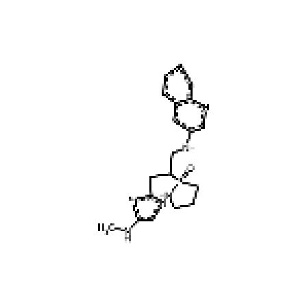 CNc1cnc(CC(CNc2cnc3ccccc3c2)P2(=O)CCCN2)s1